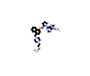 COCCN1CCN(Cc2ccc(OC[C@H]3CCCN3c3ncnc4c3ncn4C)c3ccccc23)CC1